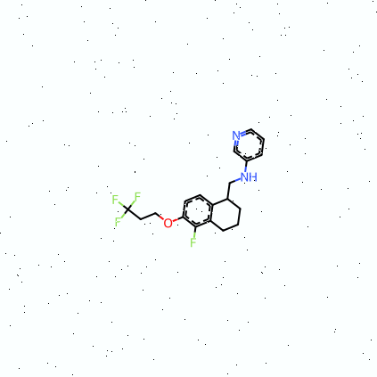 Fc1c(OCCC(F)(F)F)ccc2c1CCCC2CNc1cccnc1